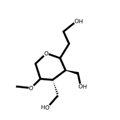 COC1COC(CCO)[C@@H](CO)[C@@H]1CO